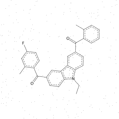 CCn1c2ccc(C(=O)c3ccccc3C)cc2c2cc(C(=O)c3ccc(F)cc3C)ccc21